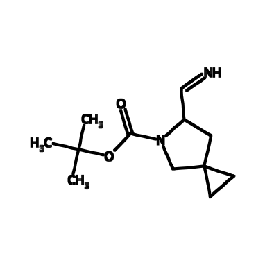 CC(C)(C)OC(=O)N1CC2(CC2)CC1C=N